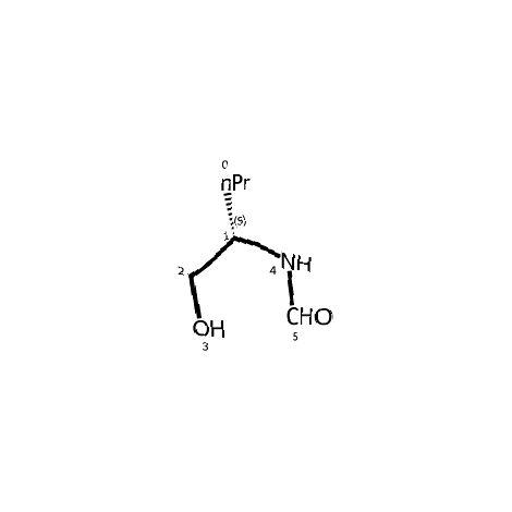 CCC[C@@H](CO)NC=O